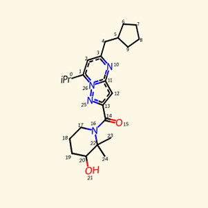 CC(C)c1cc(CC2CCCC2)nc2cc(C(=O)N3CCCC(O)C3(C)C)nn12